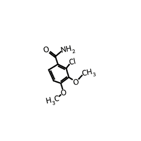 COc1ccc(C(N)=O)c(Cl)c1OC